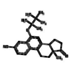 CC12CCc3c(cc(O[Si](C)(C)C(C)(C)C)c4cc(O)ccc34)C1CCC2=O